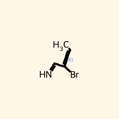 C/C=C(/Br)C=N